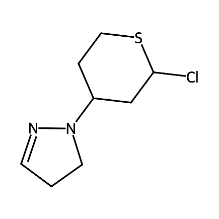 ClC1CC(N2CCC=N2)CCS1